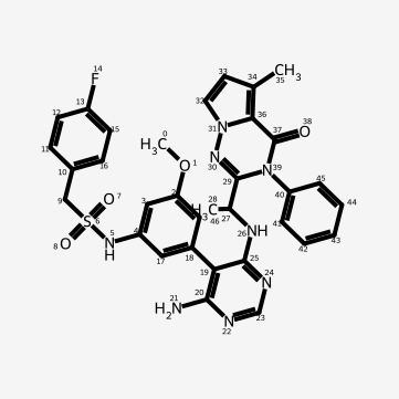 COc1cc(NS(=O)(=O)Cc2ccc(F)cc2)cc(-c2c(N)ncnc2NC(C)c2nn3ccc(C)c3c(=O)n2-c2ccccc2)c1